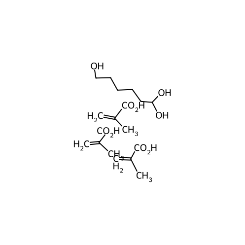 C=C(C)C(=O)O.C=C(C)C(=O)O.C=C(C)C(=O)O.OCCCCCC(O)O